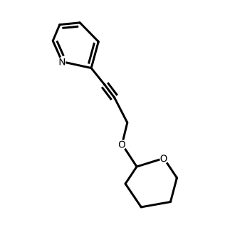 C(#Cc1ccccn1)COC1CCCCO1